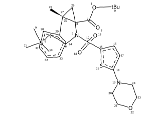 CC(C)(C)OC(=O)C1(N(CC[Si](C)(C)C)S(=O)(=O)c2ccc(N3CCOCC3)s2)C[C@@]1(C)c1ccccc1